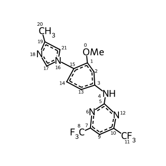 COc1cc(Nc2nc(C(F)(F)F)cc(C(F)(F)F)n2)ccc1-n1cnc(C)c1